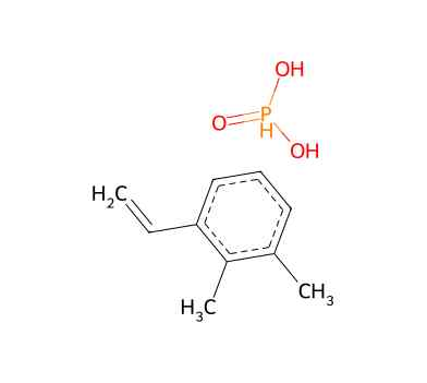 C=Cc1cccc(C)c1C.O=[PH](O)O